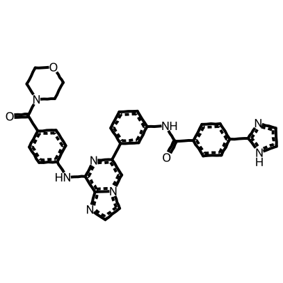 O=C(Nc1cccc(-c2cn3ccnc3c(Nc3ccc(C(=O)N4CCOCC4)cc3)n2)c1)c1ccc(-c2ncc[nH]2)cc1